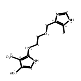 CCCCc1c[nH]c(NCCSCc2nc[nH]c2C)c1[N+](=O)[O-]